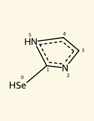 [SeH]c1ncc[nH]1